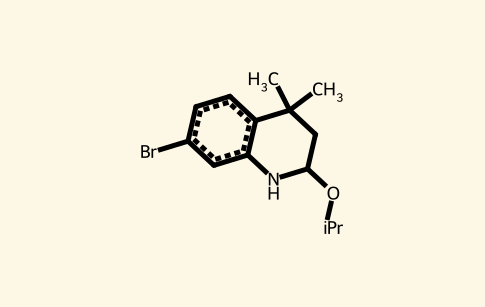 CC(C)OC1CC(C)(C)c2ccc(Br)cc2N1